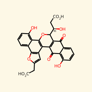 O=C(O)Cc1cc2c3c(c4c(O)cccc4c2o1)OC([C@H](O)CC(=O)O)C1=C3C(=O)c2c(O)cccc2C1=O